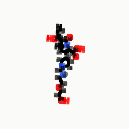 C[C@@H](O)[C@H]1C(=O)N2C(C(=O)O)=C([C@@H]3CCN(/C=N/CCOCCO)C3)C[C@H]12